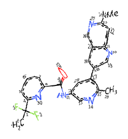 [CH2]C(F)(F)c1cccc(C(=O)Nc2cnc(C)c(-c3cnc4cc(NC)ncc4c3)c2)n1